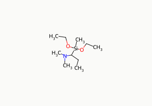 CCO[Si](C)(OCC)C(CC)N(C)C